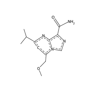 COCc1cc(C(C)C)nc2c(C(N)=O)ncn12